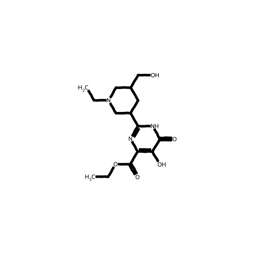 [CH2]CN1CC(CO)CC(c2nc(C(=O)OCC)c(O)c(=O)[nH]2)C1